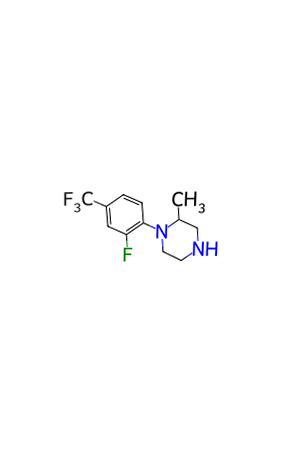 CC1CNCCN1c1ccc(C(F)(F)F)cc1F